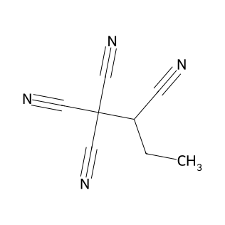 CCC(C#N)C(C#N)(C#N)C#N